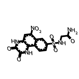 NC(=O)CNS(=O)(=O)c1ccc2c(c1)c([N+](=O)[O-])cc1[nH]c(=O)c(=O)[nH]c12